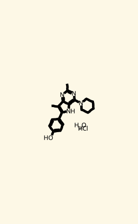 Cc1nc(N2CCCCC2)c2[nH]c(-c3ccc(O)cc3)c(C)c2n1.Cl.O